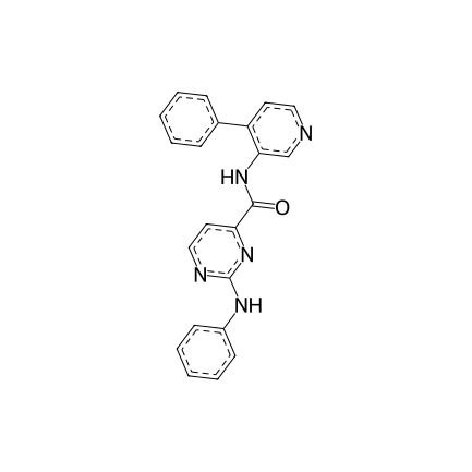 O=C(Nc1cnccc1-c1ccccc1)c1ccnc(Nc2ccccc2)n1